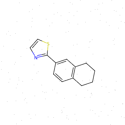 [CH]1CCCc2ccc(-c3nccs3)cc21